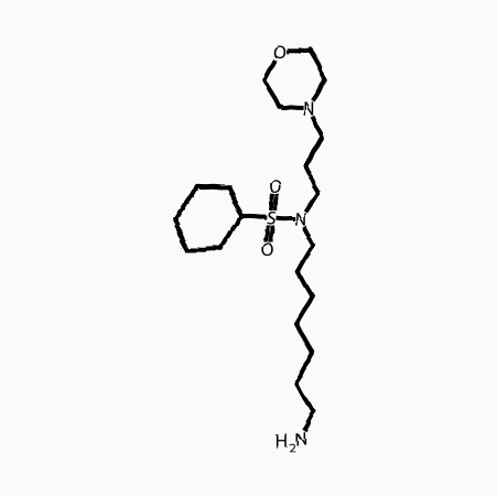 NCCCCCCCN(CCCN1CCOCC1)S(=O)(=O)C1CCCCC1